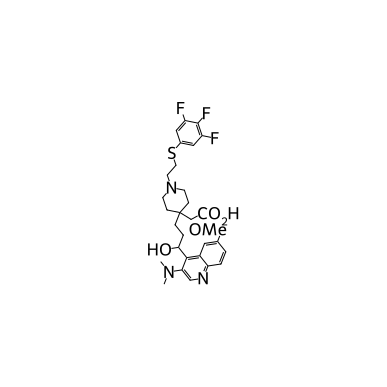 COc1ccc2ncc(N(C)C)c(C(O)CCC3(CC(=O)O)CCN(CCSc4cc(F)c(F)c(F)c4)CC3)c2c1